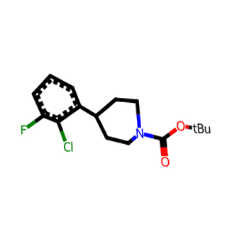 CC(C)(C)OC(=O)N1CCC(c2cccc(F)c2Cl)CC1